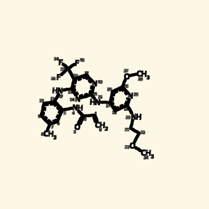 C=CC(=O)Nc1cc(C)ccc1Nc1nc(Nc2cc(NCCOC)nc(OC)c2)ncc1C(F)(F)F